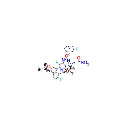 CC(C)[Si](C#Cc1c(F)ccc2cc(O[Si](C(C)C)(C(C)C)C(C)C)cc(-c3nc4c5c(nc(OC[C@@]67CCCN6C[C@H](F)C7)nc5c3F)N(CCC(N)=O)CCO4)c12)(C(C)C)C(C)C